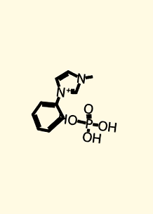 Cn1cc[n+](-c2ccccc2)c1.O=P(O)(O)O